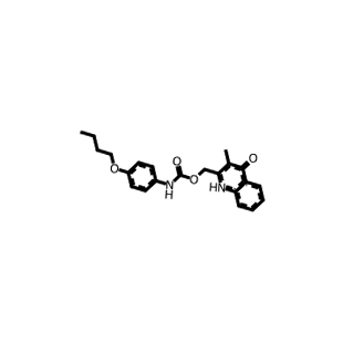 CCCCOc1ccc(NC(=O)OCc2[nH]c3ccccc3c(=O)c2C)cc1